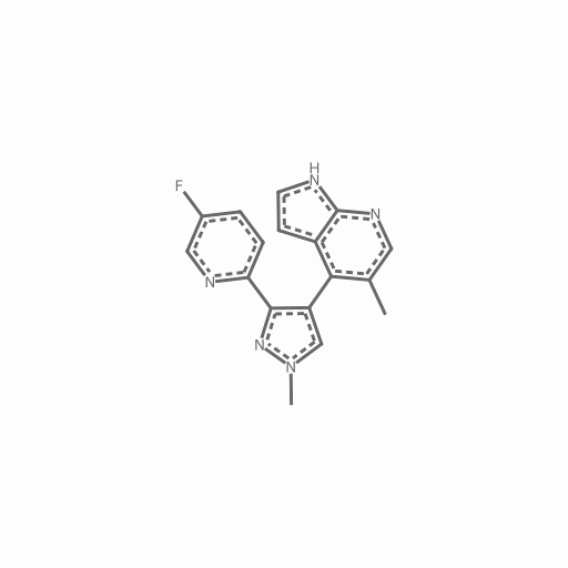 Cc1cnc2[nH]ccc2c1-c1cn(C)nc1-c1ccc(F)cn1